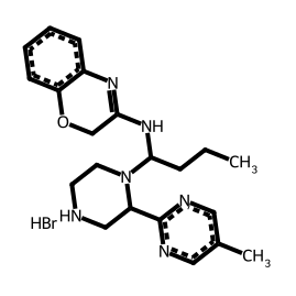 Br.CCCC(NC1=Nc2ccccc2OC1)N1CCNCC1c1ncc(C)cn1